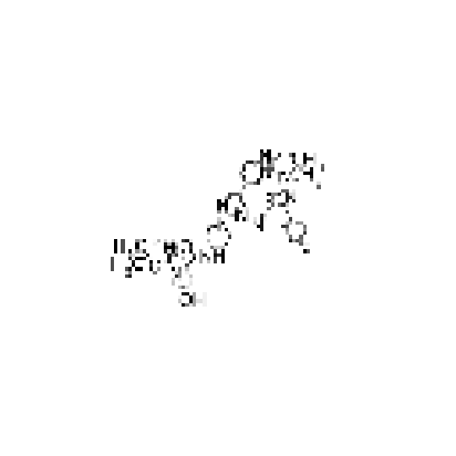 CCc1nc2ccc(-c3cnc(N4CCC(NC(=O)[C@H]5C[C@@H](O)CN5C(=O)OC(C)(C)C)CC4)nc3)cn2c1N(C)c1nc(-c2ccc(F)cc2)c(C#N)s1